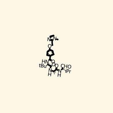 CC(C)[C@@H](C=O)NC(=O)[C@H](C)NC(=O)[C@@H](NC(=O)c1ccc(OCc2nccn2C)cc1)C(C)(C)C